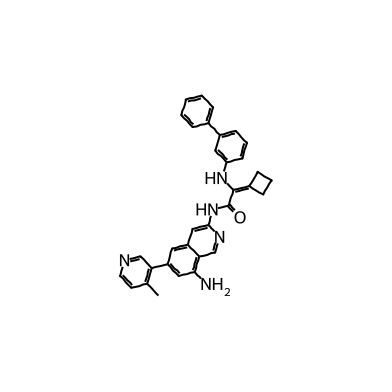 Cc1ccncc1-c1cc(N)c2cnc(NC(=O)C(Nc3cccc(-c4ccccc4)c3)=C3CCC3)cc2c1